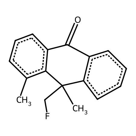 Cc1cccc2c1C(C)(CF)c1ccccc1C2=O